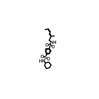 C/C=C\C=C(/C)CNS(=O)(=O)c1ccc(S(=O)(=O)NC2CCCCC2)cc1